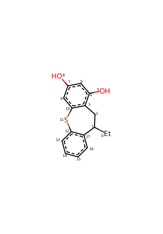 CCC1Cc2c(O)cc(O)cc2Sc2ccccc21